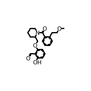 COCCc1ccccc1C(=O)N1CCCCC1COc1cccc(O)c1C=O